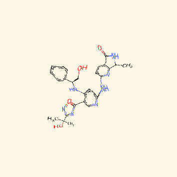 CC1NC(=O)c2ccc(Nc3cc(N[C@H](CO)c4ccccc4)c(-c4nc(C(C)(C)O)no4)cn3)nc21